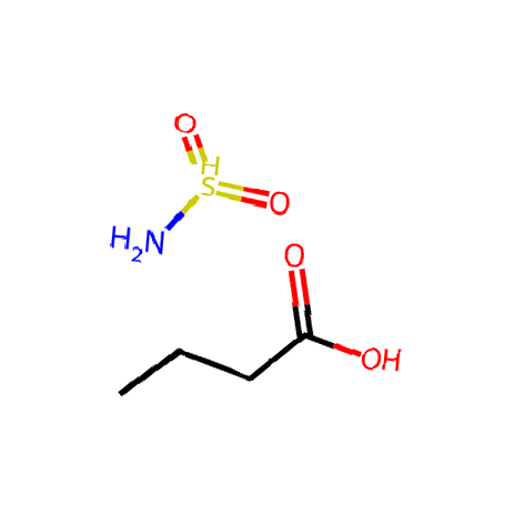 CCCC(=O)O.N[SH](=O)=O